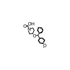 COc1ccc(C(OC2CCN(C(=O)O)CC2)c2ccccc2)cc1